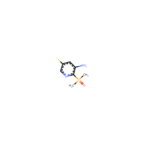 CP(C)(=O)c1ncc(F)cc1N